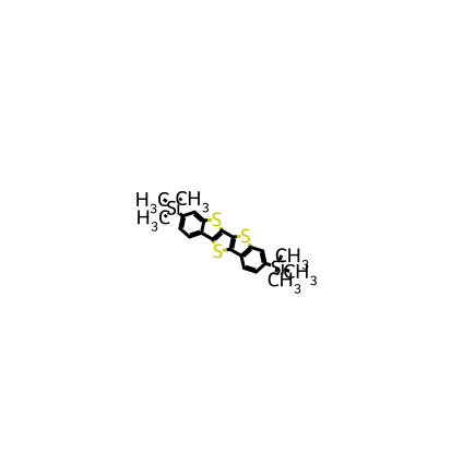 C[Si](C)(C)c1ccc2c(c1)sc1c2sc2c3ccc([Si](C)(C)C)cc3sc21